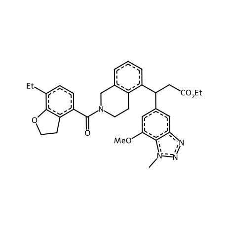 CCOC(=O)CC(c1cc(OC)c2c(c1)nnn2C)c1cccc2c1CCN(C(=O)c1ccc(CC)c3c1CCO3)C2